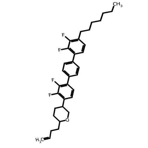 C=CCCC1CCC(c2ccc(-c3ccc(-c4ccc(CCCCCCC)c(F)c4F)cc3)c(F)c2F)CO1